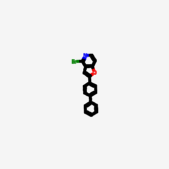 Brc1nccc2oc(-c3ccc(-c4ccccc4)cc3)cc12